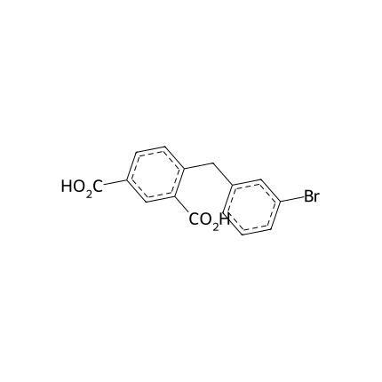 O=C(O)c1ccc(Cc2cccc(Br)c2)c(C(=O)O)c1